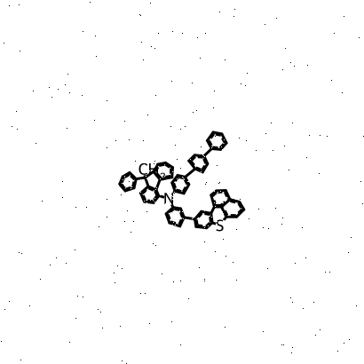 CC1(c2ccccc2)c2ccccc2-c2c(N(c3ccc(-c4ccc(-c5ccccc5)cc4)cc3)c3cccc(-c4ccc5c(c4)-c4cccc6cccc(c46)S5)c3)cccc21